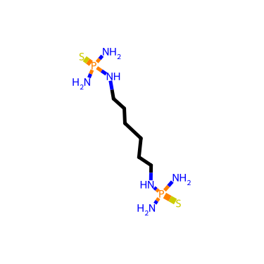 NP(N)(=S)NCCCCCCNP(N)(N)=S